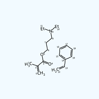 C=C(C)C(=O)OCCCN(CC)CC.C=Cc1ccccc1